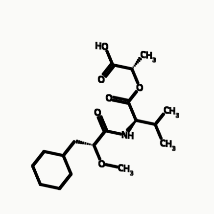 CO[C@H](CC1CCCCC1)C(=O)N[C@@H](C(=O)O[C@@H](C)C(=O)O)C(C)C